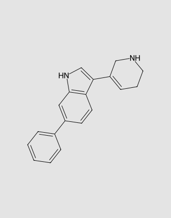 C1=C(c2c[nH]c3cc(-c4ccccc4)ccc23)CNCC1